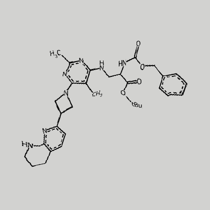 Cc1nc(NCC(NC(=O)OCc2ccccc2)C(=O)OC(C)(C)C)c(C)c(N2CC(c3ccc4c(n3)NCCC4)C2)n1